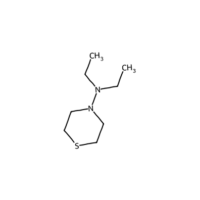 CCN(CC)N1CCSCC1